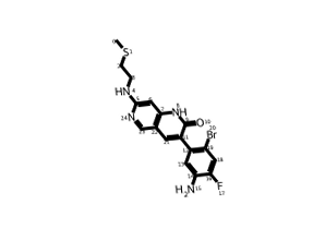 CSCCNc1cc2[nH]c(=O)c(-c3cc(N)c(F)cc3Br)cc2cn1